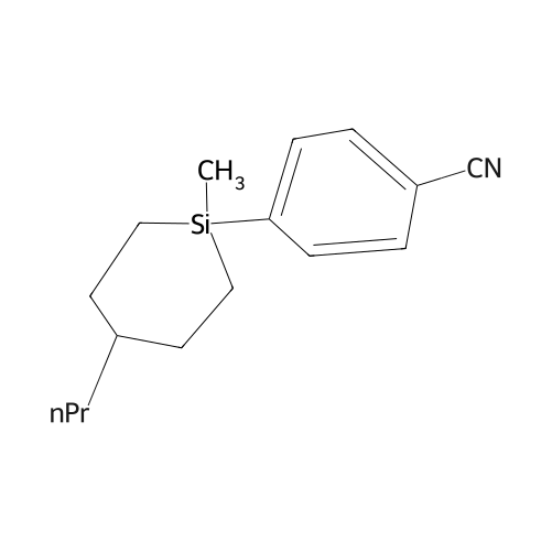 CCCC1CC[Si](C)(c2ccc(C#N)cc2)CC1